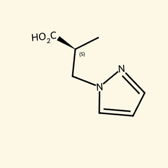 C[C@@H](Cn1cccn1)C(=O)O